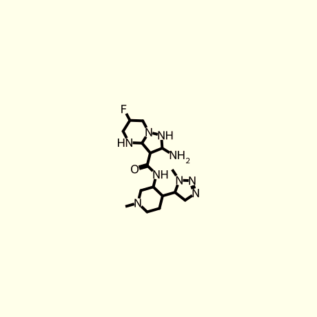 CN1CCC(C2CN=NN2C)C(NC(=O)C2C(N)NN3CC(F)CNC23)C1